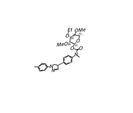 CCO[C@@H]1[C@@H](OC)[C@H](C)O[C@@H](OC(=O)N(C)c2ccc(C3C=NN(c4ccc(C)cc4)C3)cc2)[C@@H]1OC